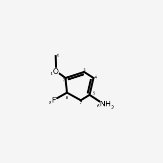 COC1=CC=C(N)CC1F